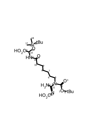 CC(C)(C)OC(=O)N(CCCCCCC(=O)NC(O[Si](C)(C)C(C)(C)C)C(=O)O)C(N)=NC(=O)O